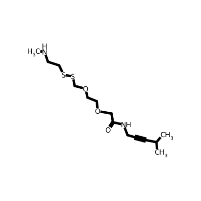 CNCCSSCOCCOCC(=O)NCC#CC(C)C